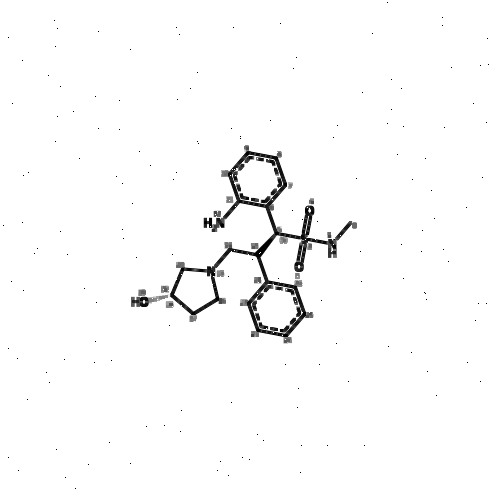 CNS(=O)(=O)[C@H](c1ccccc1N)C(CN1CC[C@H](O)C1)c1ccccc1